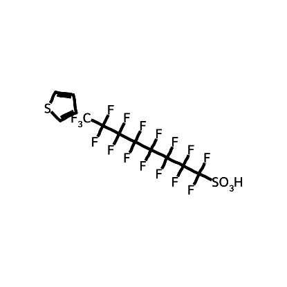 O=S(=O)(O)C(F)(F)C(F)(F)C(F)(F)C(F)(F)C(F)(F)C(F)(F)C(F)(F)C(F)(F)F.c1ccsc1